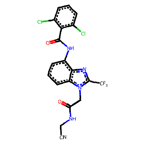 N#CCNC(=O)Cn1c(C(F)(F)F)nc2c(NC(=O)c3c(Cl)cccc3Cl)cccc21